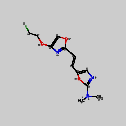 CN(C)c1ncc(/C=C/c2nc(OCCF)co2)o1